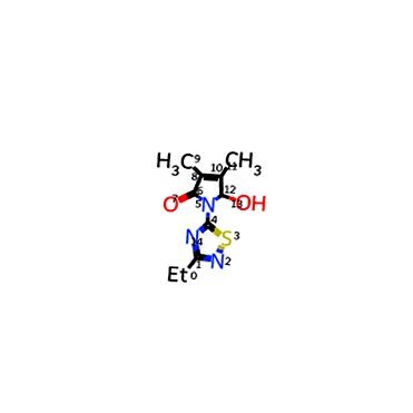 CCc1nsc(N2C(=O)C(C)=C(C)C2O)n1